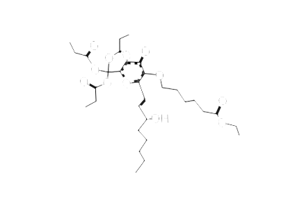 CCCCC[C@H](O)C=Cc1oc(C(OC(=O)CC)(OC(=O)CC)OC(=O)CC)cc(=O)c1OCCCCCC(=O)OCC